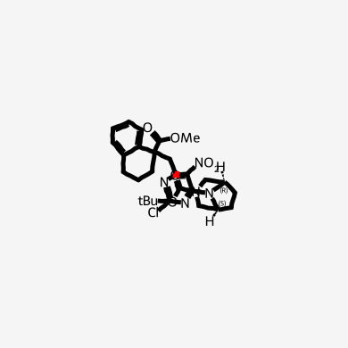 COC(=O)C1(Cc2nc(Cl)nc(N3[C@@H]4CC[C@H]3CN(C(=O)OC(C)(C)C)C4)c2[N+](=O)[O-])CCCc2ccccc21